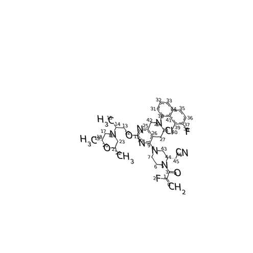 C=C(F)C(=O)N1CCN(c2nc(OCC(C)N3C[C@@H](C)O[C@@H](C)C3)nc3c2CCN(c2cccc4ccc(F)c(Cl)c24)C3)C[C@@H]1CC#N